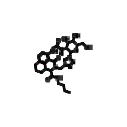 CCCCNC(=O)C(C1CCCCC1)N(Cc1cn(C2OC(CO)C(O)C(O)C2NC(C)=O)nn1)C(=O)c1ccccc1O